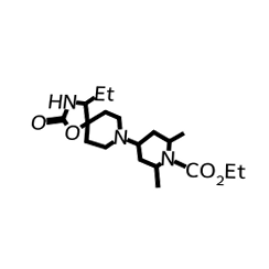 CCOC(=O)N1C(C)CC(N2CCC3(CC2)OC(=O)NC3CC)CC1C